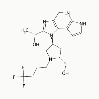 C[C@@H](O)c1nc2cnc3[nH]ccc3c2n1[C@H]1C[C@H](CO)N(CCCC(F)(F)F)C1